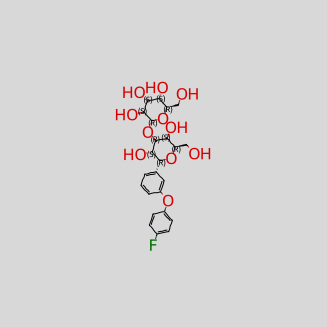 OC[C@H]1O[C@H](c2cccc(Oc3ccc(F)cc3)c2)[C@H](O)[C@@H](O[C@H]2O[C@H](CO)[C@@H](O)[C@H](O)[C@@H]2O)[C@H]1O